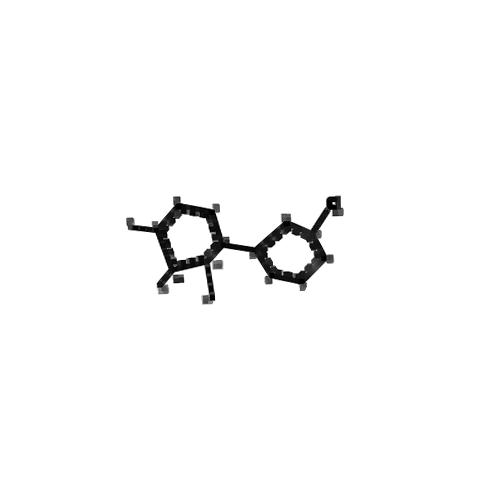 Cc1ccc(-c2cccc(Cl)c2)c(C)c1C